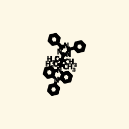 CC(C)(c1nc(-c2ccccc2)nc(-c2ccccc2)n1)C(C)(C)N1c2ccccc2N(c2ccccc2)c2ccccc21